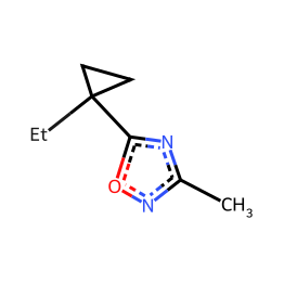 CCC1(c2nc(C)no2)CC1